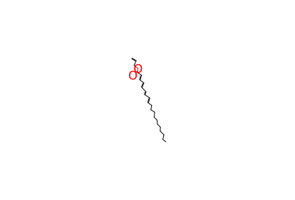 C=CCOC(=O)C=CC=CC=CC=CCCCCCCCCCCC